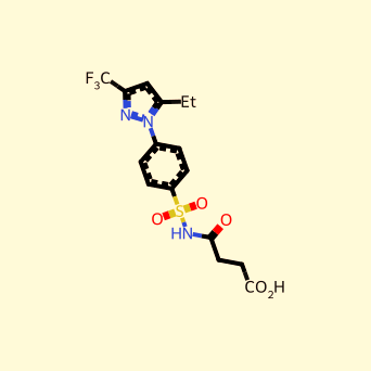 CCc1cc(C(F)(F)F)nn1-c1ccc(S(=O)(=O)NC(=O)CCC(=O)O)cc1